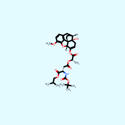 COc1ccc2c3c1O[C@H]1C(OC(=O)[C@H](C)OC(=O)C[C@H](NC(=O)OC(C)(C)C)C(=O)OCC(C)C)=CC[C@@]4(O)[C@H](CCC[C@]314)C2